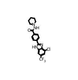 O=C(NN1CCCCC1)c1ccc(-c2nc3c(Cl)cc(C(F)(F)F)cc3[nH]2)cc1